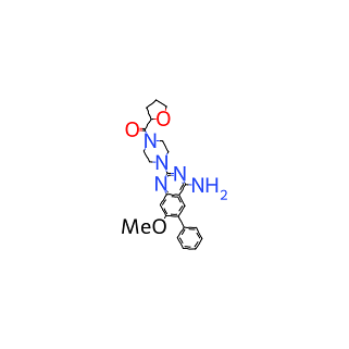 COc1cc2nc(N3CCN(C(=O)C4CCCO4)CC3)nc(N)c2cc1-c1ccccc1